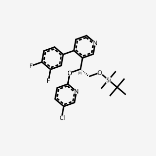 CC(C)(C)[Si](C)(C)OC[C@H](Oc1ccc(Cl)cn1)c1cnccc1-c1ccc(F)c(F)c1